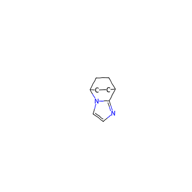 c1cn2c(n1)C1CCC2CC1